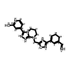 N=CC1=CC(c2noc(CN3CCCn4c(-c5ccnc(O)c5)nnc43)n2)=CCC1